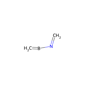 C=BN=C